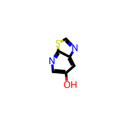 Oc1cnc2scnc2c1